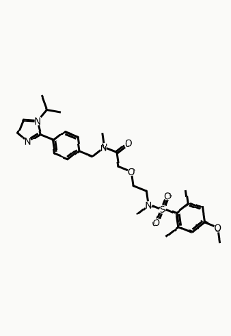 COc1cc(C)c(S(=O)(=O)N(C)CCOCC(=O)N(C)Cc2ccc(C3=NCCN3C(C)C)cc2)c(C)c1